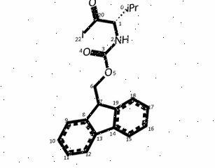 CC(C)[C@H](NC(=O)OCC1c2ccccc2-c2ccccc21)C(=O)I